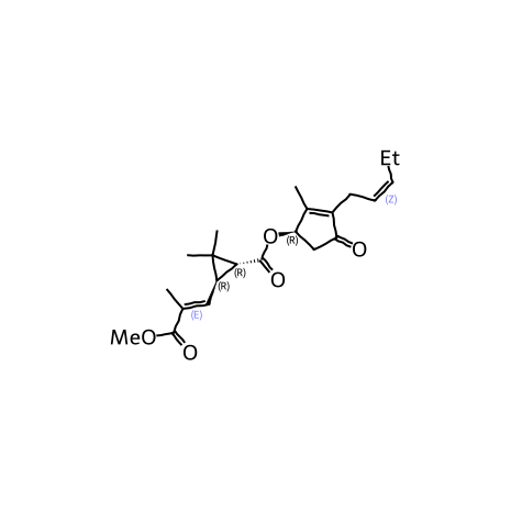 CC/C=C\CC1=C(C)[C@H](OC(=O)[C@@H]2[C@@H](/C=C(\C)C(=O)OC)C2(C)C)CC1=O